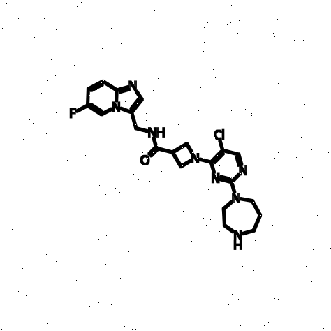 O=C(NCc1cnc2ccc(F)cn12)C1CN(c2nc(N3CCCNCC3)ncc2Cl)C1